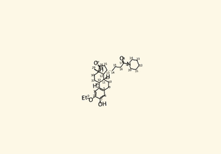 CCOc1cc2c(cc1O)CC[C@H]1[C@@H]3[C@@H](CCCC(=O)N4CCCCC4)CC(=O)[C@@]3(C)CC[C@H]21